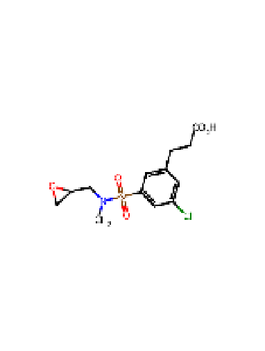 CN(CC1CO1)S(=O)(=O)c1cc(Cl)cc(CCC(=O)O)c1